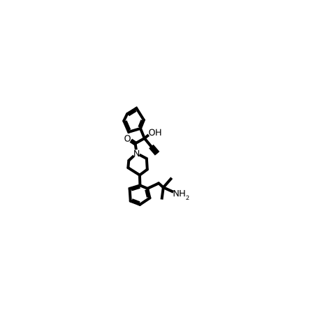 C#CC(O)(C(=O)N1CCC(c2ccccc2CC(C)(C)N)CC1)c1ccccc1